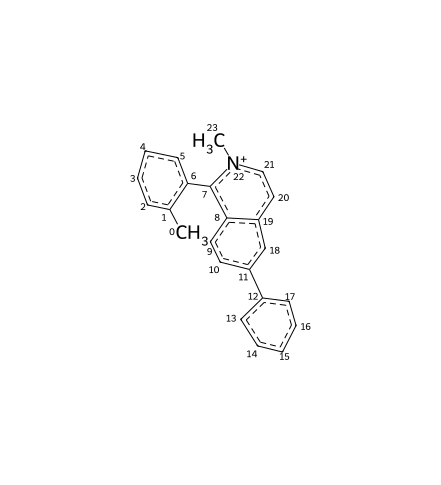 Cc1ccccc1-c1c2ccc(-c3ccccc3)cc2cc[n+]1C